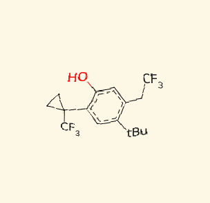 CC(C)(C)c1cc(C2(C(F)(F)F)CC2)c(O)cc1CC(F)(F)F